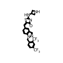 O=C1N=C(NC2CNC2)SC1=Cc1ccc2c(cnn2Cc2ccc(C(F)(F)F)cc2C(F)(F)F)c1